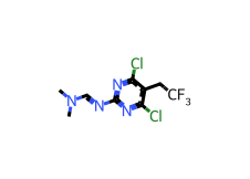 CN(C)/C=N/c1nc(Cl)c(CC(F)(F)F)c(Cl)n1